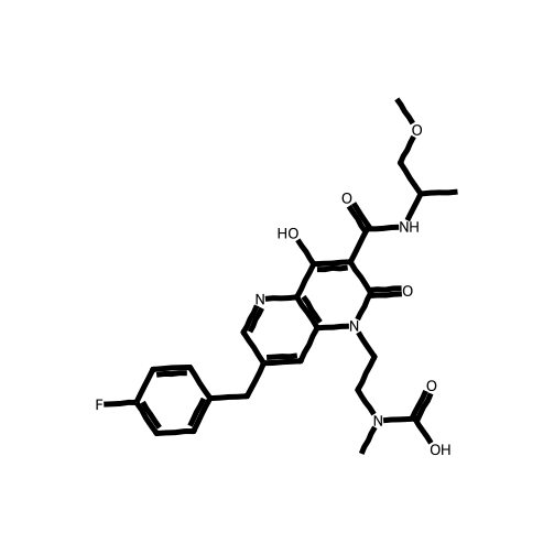 COCC(C)NC(=O)c1c(O)c2ncc(Cc3ccc(F)cc3)cc2n(CCN(C)C(=O)O)c1=O